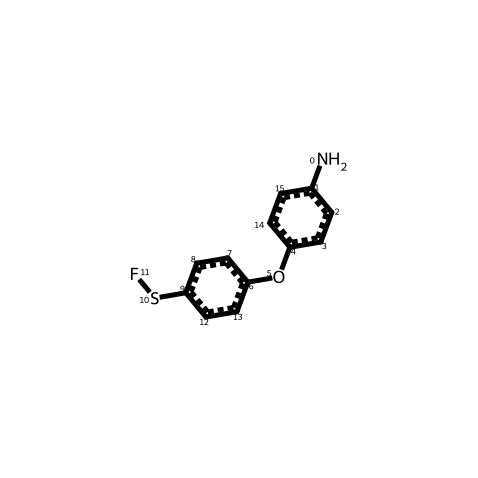 Nc1ccc(Oc2ccc(SF)cc2)cc1